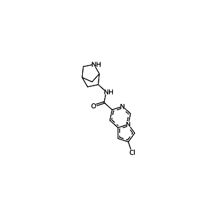 O=C(NC1CC2CNC1C2)c1cc2cc(Cl)cn2cn1